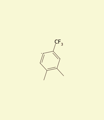 Cc1c[c]c(C(F)(F)F)cc1C